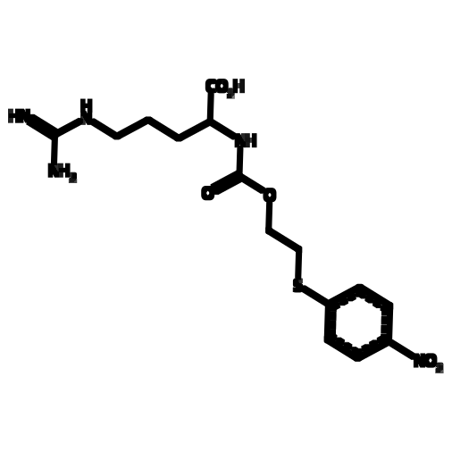 N=C(N)NCCCC(NC(=O)OCCSc1ccc([N+](=O)[O-])cc1)C(=O)O